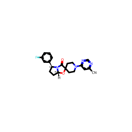 N#Cc1cc(N2CCC3(CC2)O[C@@H]2CC[C@@H](c4cccc(F)c4)N2C3=O)ncn1